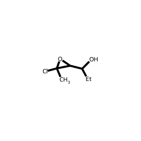 CCC(O)C1OC1(C)Cl